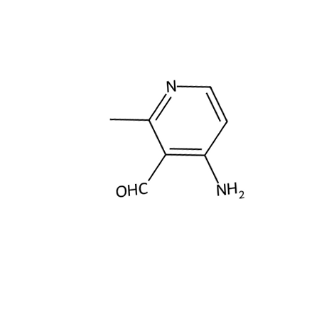 Cc1nccc(N)c1C=O